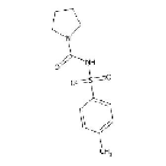 Cc1ccc(S(=O)(=O)NC(=O)N2CCCC2)cc1